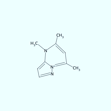 Cc1cc(C)[n+]2nccc-2n1C